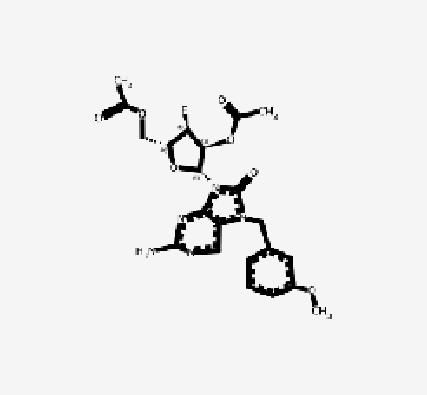 COc1cccc(Cn2c(=O)n([C@@H]3O[C@H](COC(C)=O)[C@@H](F)[C@H]3OC(C)=O)c3nc(N)ncc32)c1